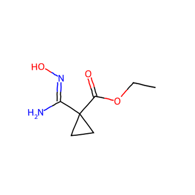 CCOC(=O)C1(/C(N)=N/O)CC1